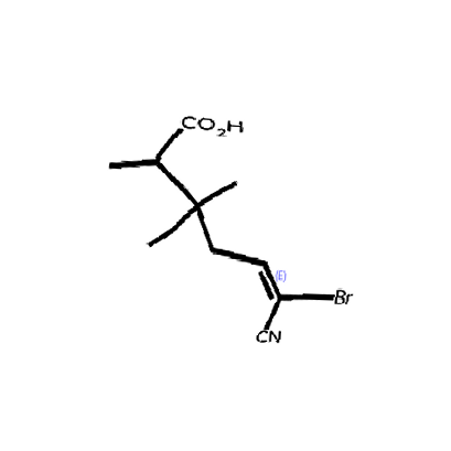 CC(C(=O)O)C(C)(C)C/C=C(/Br)C#N